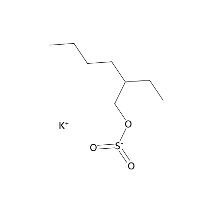 CCCCC(CC)CO[S-](=O)=O.[K+]